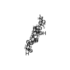 CC(C)[C@@H](OC(=O)N1CCC1)C1C[C@@H](C)[C@H]2C(O1)[C@H](O)[C@@]1(C)C3CC[C@H]4C(C)(C)[C@@H](OC(=O)N5CCNC(=O)C5)CC[C@@]45CC35CC[C@]21C